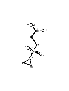 O=C(O)CCS(=O)(=O)N1CC1